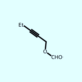 CCC#CCO[C]=O